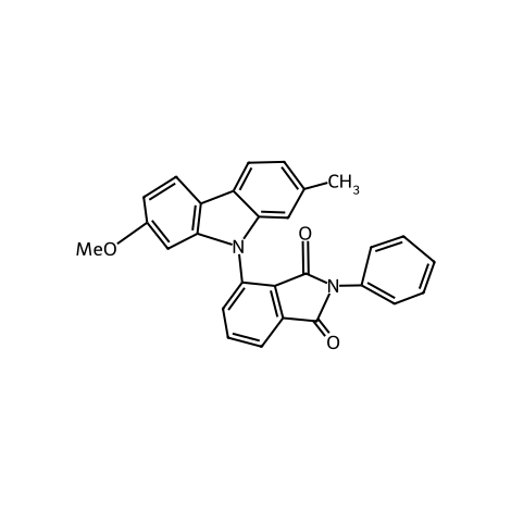 COc1ccc2c3ccc(C)cc3n(-c3cccc4c3C(=O)N(c3ccccc3)C4=O)c2c1